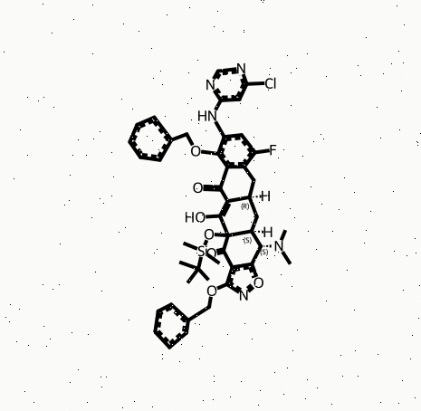 CN(C)[C@@H]1c2onc(OCc3ccccc3)c2C(=O)C2(O[Si](C)(C)C(C)(C)C)C(O)=C3C(=O)c4c(c(F)cc(Nc5cc(Cl)ncn5)c4OCc4ccccc4)C[C@H]3C[C@@H]12